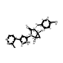 Cc1nnccc1-c1cc(N2C(=O)[C@H](Cc3ccc(Cl)nc3)[C@@H]3C[C@@H]32)[nH]n1